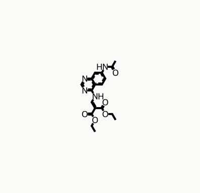 CCOC(=O)C(=CNc1ncnc2cc(NC(C)=O)ccc12)C(=O)OCC